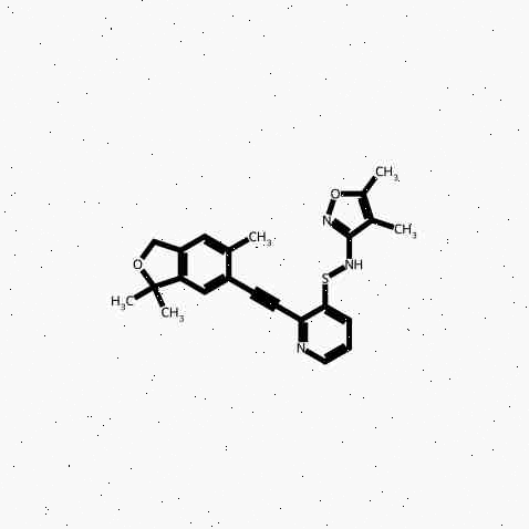 Cc1cc2c(cc1C#Cc1ncccc1SNc1noc(C)c1C)C(C)(C)OC2